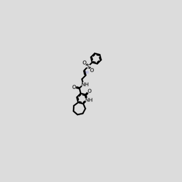 O=C(NC/C=C/S(=O)(=O)c1ccccc1)c1cc2c([nH]c1=O)CCCCC2